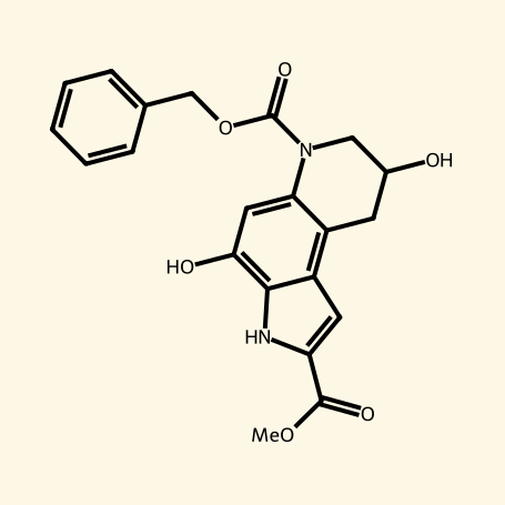 COC(=O)c1cc2c3c(cc(O)c2[nH]1)N(C(=O)OCc1ccccc1)CC(O)C3